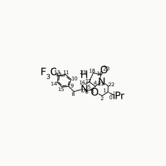 CC(C)[C@H]1CO[C@]23CCN(Cc4ccc(C(F)(F)F)cc4)C[C@H]2CC(=O)N3C1